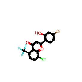 O=c1cc(-c2ccc(Br)cc2O)oc2c(Cl)ccc(C(F)(F)F)c12